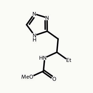 CCC(Cc1nnc[nH]1)NC(=O)OC